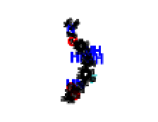 CCN(CC)CCOc1ccc(NC2NCC(c3ccc(CNCC(=O)OC(C)(C)C)c(F)c3)CN2)cc1